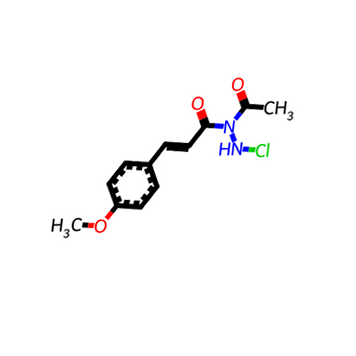 COc1ccc(C=CC(=O)N(NCl)C(C)=O)cc1